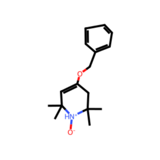 CC1(C)C=C(OCc2ccccc2)CC(C)(C)[NH+]1[O-]